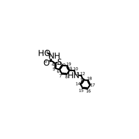 O=C(NO)c1cc2ccc(CNCc3ccccc3)cc2s1